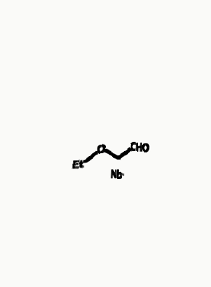 CCOCC=O.[Nb]